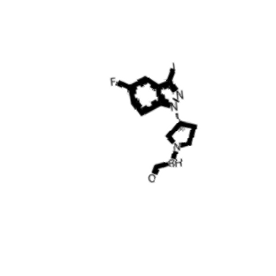 O=CBN1CC[C@@H](n2nc(I)c3cc(F)ccc32)C1